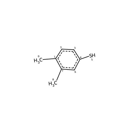 Cc1ccc(S)cc1C